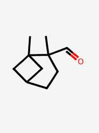 CC1(C=O)CCC2CC1(C)C2